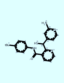 CC(C)(C)c1ccc(NC(=O)c2cccnc2C(S)c2ccnc(N)c2)cc1